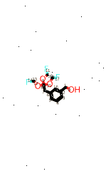 OCc1cccc(CC(OCF)(OCF)OCF)c1